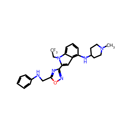 CN1CCC(Nc2cccc3c2cc(-c2noc(CNc4ccccc4)n2)n3CC(F)(F)F)CC1